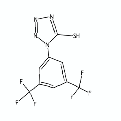 FC(F)(F)c1cc(-n2nnnc2S)cc(C(F)(F)F)c1